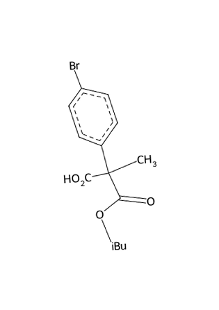 CCC(C)OC(=O)C(C)(C(=O)O)c1ccc(Br)cc1